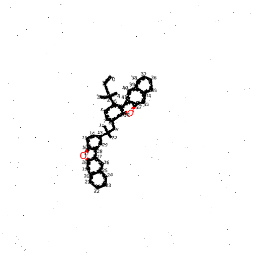 CCC(C)(C)c1ccc(CC(C)(C)c2ccc3oc4cc5ccccc5cc4c3c2)c2oc3cc4ccccc4cc3c12